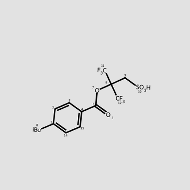 CCC(C)c1ccc(C(=O)OC(CS(=O)(=O)O)(C(F)(F)F)C(F)(F)F)cc1